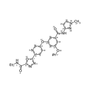 CCNC(=O)c1nnc(-c2ccc(Oc3cc(OC(C)C)cc(C(=O)Nc4ccn(C)n4)c3)cn2)o1